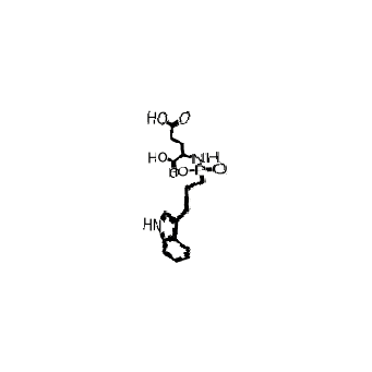 O=C(O)CCC(NP(=O)(O)CCCc1c[nH]c2ccccc12)C(=O)O